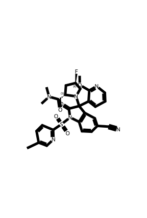 COc1ncccc1C1(N2C[C@H](F)C[C@H]2C(=O)N(C)C)C(=O)N(S(=O)(=O)c2ccc(C)cn2)c2ccc(C#N)cc21